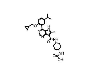 Cc1[nH]c2c(-c3cc(C(C)C)ccc3OCC3CC3)ncnc2c1C(=O)N[C@H]1CC[C@@H](NC(=O)O)CC1